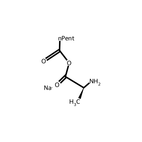 CCCCCC(=O)OC(=O)[C@H](C)N.[Na]